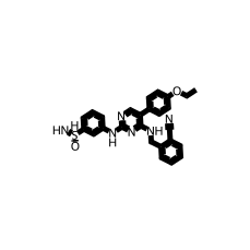 CCOc1ccc(-c2cnc(Nc3cccc([SH](=N)=O)c3)nc2NCc2ccccc2C#N)cc1